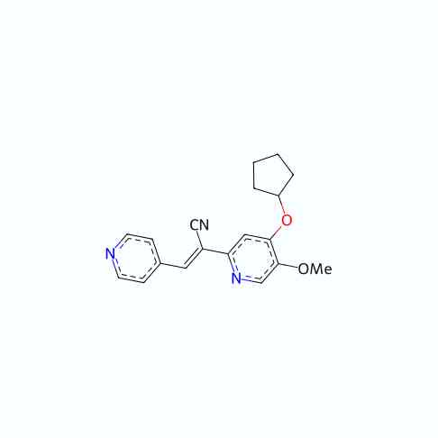 COc1cnc(/C(C#N)=C/c2ccncc2)cc1OC1CCCC1